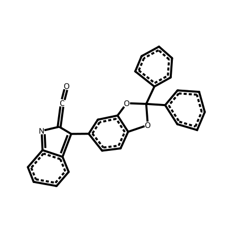 O=C=C1N=c2ccccc2=C1c1ccc2c(c1)OC(c1ccccc1)(c1ccccc1)O2